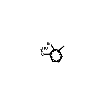 Cc1cccc(OC=O)c1Br